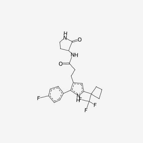 O=C(CCc1cc(C2(C(F)(F)F)CCC2)[nH]c1-c1ccc(F)cc1)NC1CCNC1=O